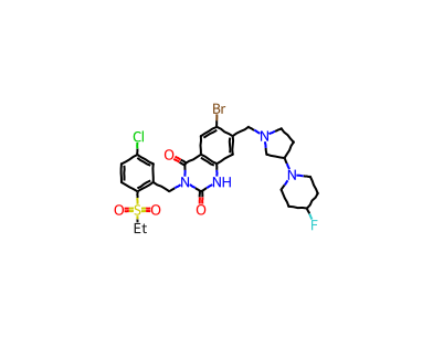 CCS(=O)(=O)c1ccc(Cl)cc1Cn1c(=O)[nH]c2cc(CN3CCC(N4CCC(F)CC4)C3)c(Br)cc2c1=O